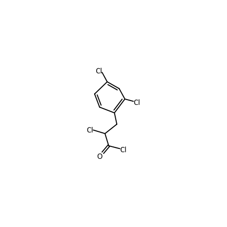 O=C(Cl)C(Cl)Cc1ccc(Cl)cc1Cl